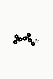 CC(C)c1ccccc1-c1ccc(N(c2ccccc2)c2ccc(-c3ccc4c(c3)c3ccccc3n4-c3ccccc3)cc2)cc1